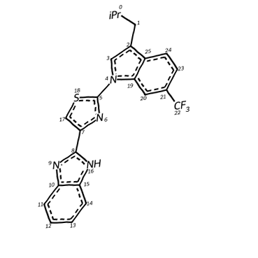 CC(C)Cc1cn(-c2nc(-c3nc4ccccc4[nH]3)cs2)c2cc(C(F)(F)F)ccc12